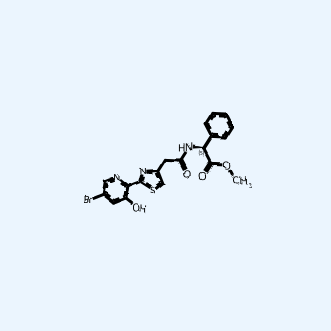 COC(=O)[C@@H](NC(=O)Cc1csc(-c2ncc(Br)cc2O)n1)c1ccccc1